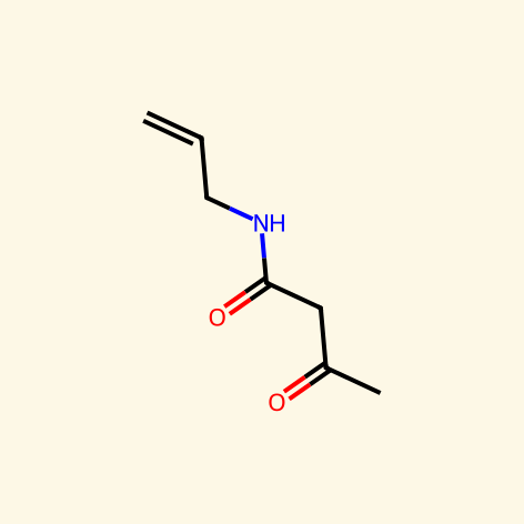 C=CCNC(=O)CC(C)=O